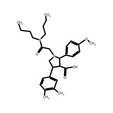 CCCCN(CCCC)C(=O)CN1CC(c2ccc(C)c(C)c2)C(C(=O)O)C1c1ccc(OC)cc1